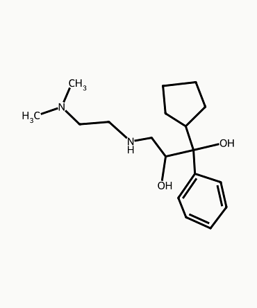 CN(C)CCNCC(O)C(O)(c1ccccc1)C1CCCC1